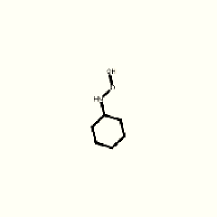 OONC1CCCCC1